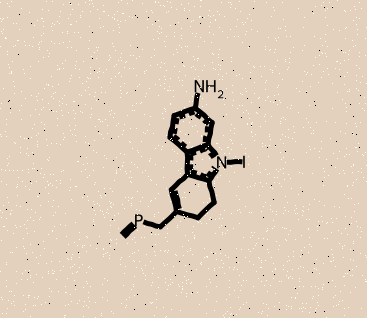 C=PCC1=Cc2c(n(I)c3cc(N)ccc23)CC1